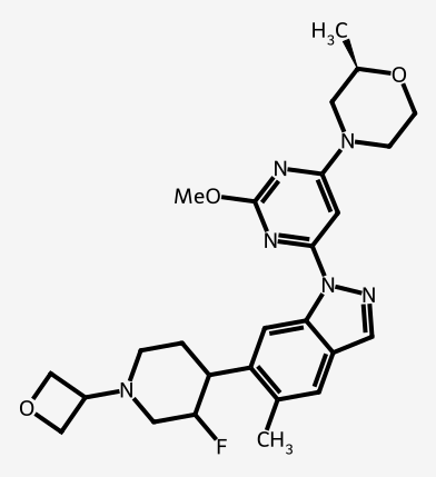 COc1nc(N2CCO[C@H](C)C2)cc(-n2ncc3cc(C)c(C4CCN(C5COC5)CC4F)cc32)n1